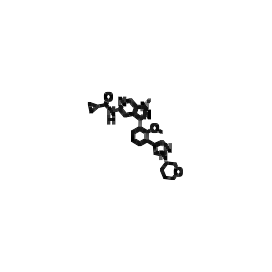 COc1c(-c2cnn([C@H]3CCCOC3)c2)cccc1-c1nn(C)c2cnc(NC(=O)C3CC3)cc12